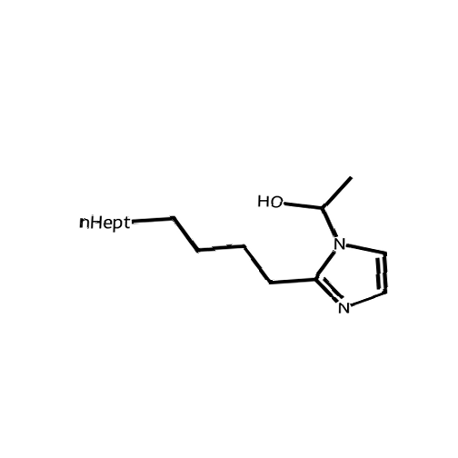 CCCCCCCCCCCc1nccn1C(C)O